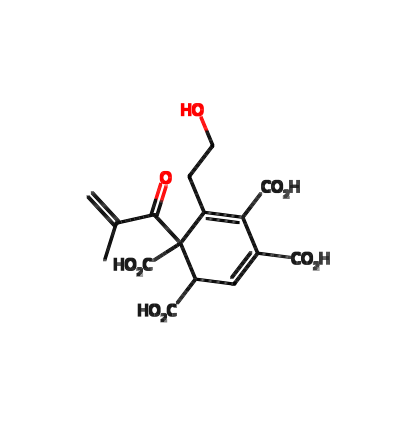 C=C(C)C(=O)C1(C(=O)O)C(CCO)=C(C(=O)O)C(C(=O)O)=CC1C(=O)O